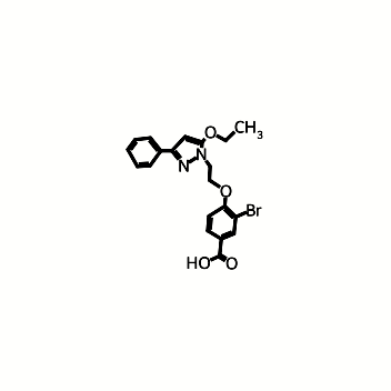 CCOc1cc(-c2ccccc2)nn1CCOc1ccc(C(=O)O)cc1Br